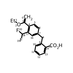 C=C(OCC)c1ccc(Cc2ccccc2C(=O)O)cc1C(F)F